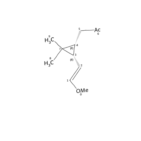 COC=C[C@H]1[C@@H](CC(C)=O)C1(C)C